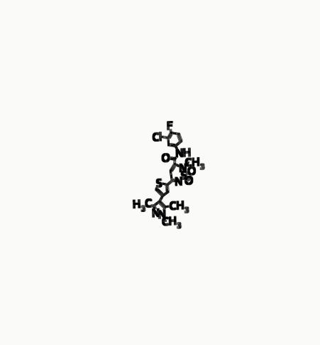 Cc1nn(C)c(C)c1-c1csc(C2=NS(=O)(=O)N(C)C(C(=O)Nc3ccc(F)c(Cl)c3)=C2)c1